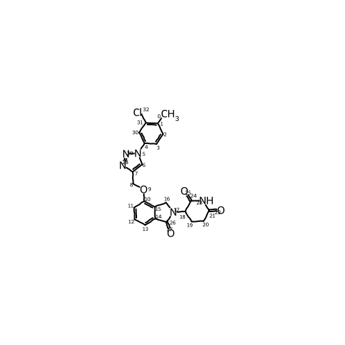 Cc1ccc(-n2cc(COc3cccc4c3CN(C3CCC(=O)NC3=O)C4=O)nn2)cc1Cl